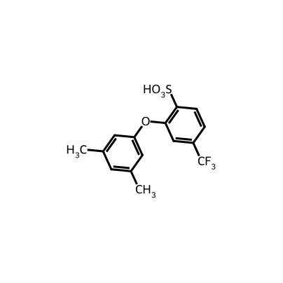 Cc1cc(C)cc(Oc2cc(C(F)(F)F)ccc2S(=O)(=O)O)c1